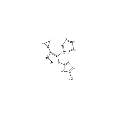 Clc1ccc(-c2n[nH]c(C3CC3)c2-c2ccncc2)s1